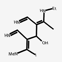 CCN/C(C)=C(\C=N)C(O)/C(C=N)=C(\I)NC